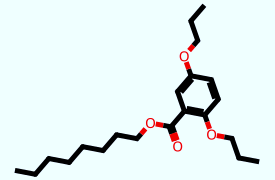 CCCCCCCCOC(=O)c1cc(OCCC)ccc1OCCC